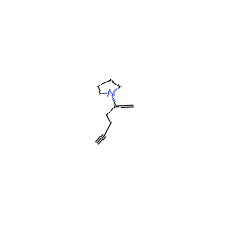 C#CCCC(=C)N1CCCC1